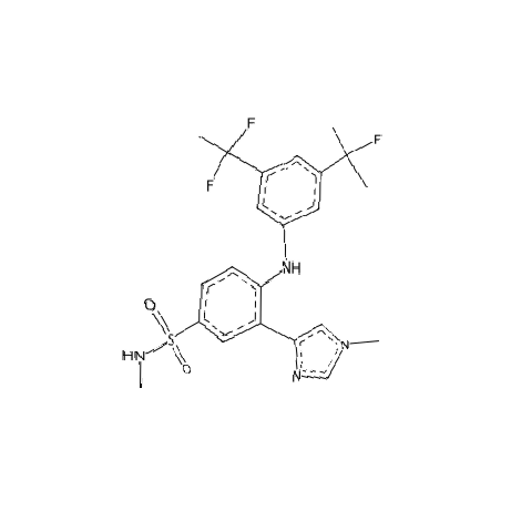 CNS(=O)(=O)c1ccc(Nc2cc(C(C)(C)F)cc(C(C)(F)F)c2)c(-c2cn(C)cn2)c1